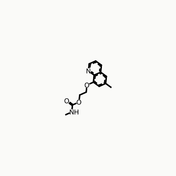 CNC(=O)OCCOc1cc(C)cc2cccnc12